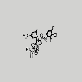 CCNS(=O)(=O)ON1C[C@@H](C(=O)N(C)c2ccc(F)c(Cl)c2F)N(c2cc(C(F)(F)F)cc(C)n2)C1=O